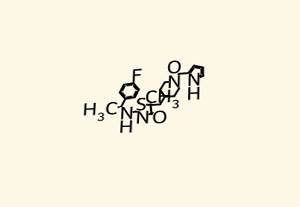 C[C@H](NC1=NC(=O)C(C)(CC2CCN(C(=O)c3ccc[nH]3)CC2)S1)c1ccc(F)cc1